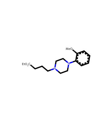 CCOC(=O)CCCN1CCN(c2ccccc2OC)CC1